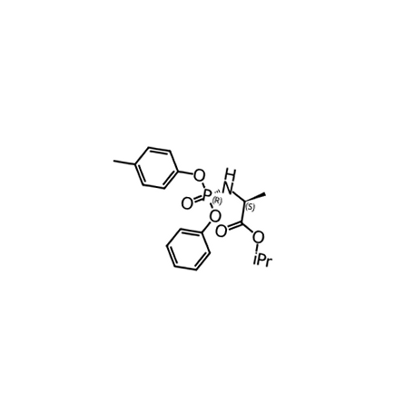 Cc1ccc(O[P@@](=O)(N[C@@H](C)C(=O)OC(C)C)Oc2ccccc2)cc1